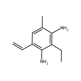 C=Cc1cc(C)c(N)c(CC)c1N